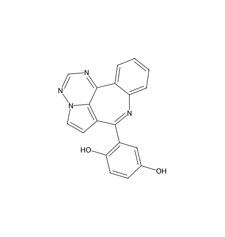 Oc1ccc(O)c(C2=Nc3ccccc3-c3ncnn4ccc2c34)c1